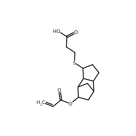 C=CC(=O)OC1CC2CC1C1C(SCCC(=O)O)CCC21